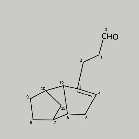 O=CCCC1=CCC2C3CCC(C3)C12